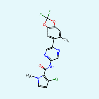 Cc1cc2c(cc1-c1cnc(NC(=O)c3c(Cl)ccn3C)cn1)OC(F)(F)O2